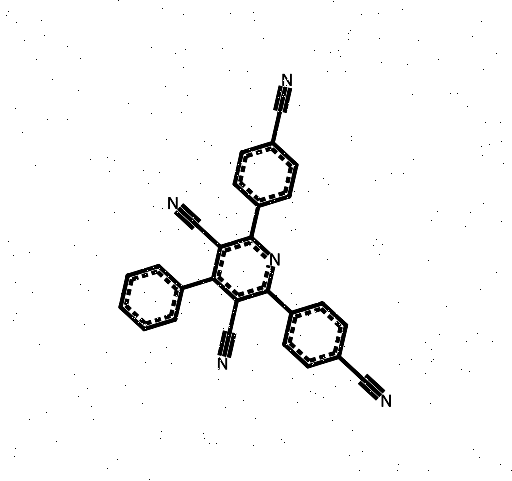 N#Cc1ccc(-c2nc(-c3ccc(C#N)cc3)c(C#N)c(-c3ccccc3)c2C#N)cc1